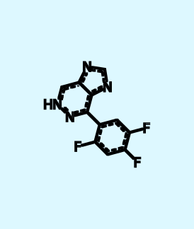 Fc1cc(F)c(-c2n[nH]cc3ncnc2-3)cc1F